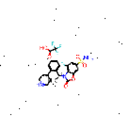 C[C@@H](c1ccccc1C1=CCNCC1)n1c(=O)oc2cc(S(N)(=O)=O)cc(F)c21.O=C(O)C(F)(F)F